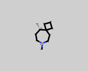 C[C@H]1CCN(C)CCC12CCC2